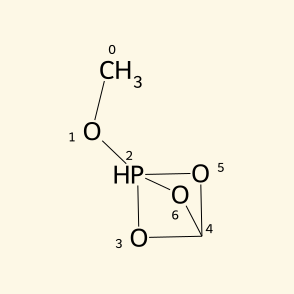 CO[PH]12OC(O1)O2